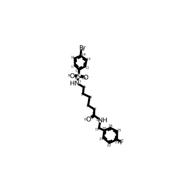 O=C(CCCCCNS(=O)(=O)c1ccc(Br)cc1)NCc1ccc(F)cc1